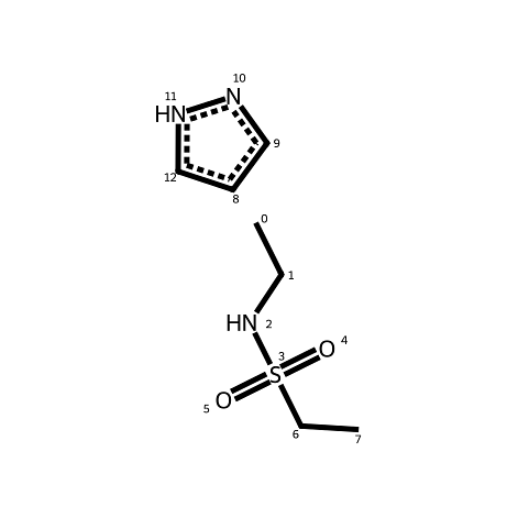 CCNS(=O)(=O)CC.c1cn[nH]c1